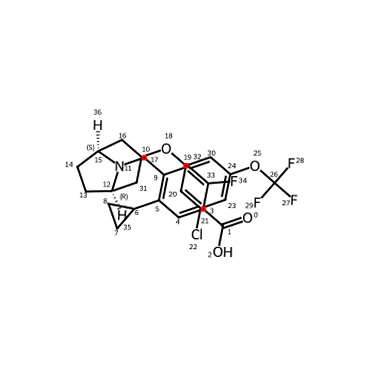 O=C(O)c1cc(C2CC2)c(CN2[C@@H]3CC[C@H]2CC(Oc2cc(Cl)cc(OC(F)(F)F)c2)C3)cc1F